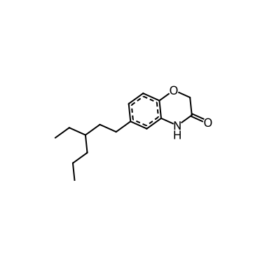 CCCC(CC)CCc1ccc2c(c1)NC(=O)CO2